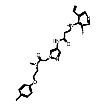 C=Cc1cncc(F)c1NCCC(=O)Nc1cnn(CC(=O)N(C)CCOc2ccc(C)cc2)c1